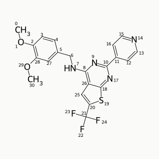 COc1ccc(CNc2nc(-c3ccncc3)nc3sc(C(F)(F)F)cc23)cc1OC